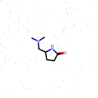 CN(C)CC1CCC(=O)N1